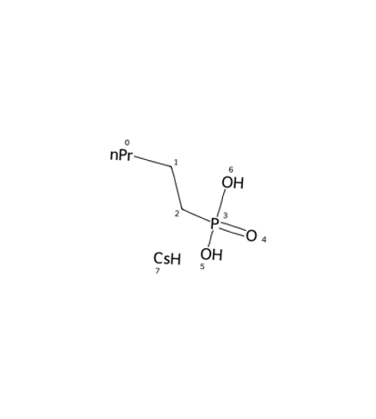 CCCCCP(=O)(O)O.[CsH]